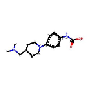 CN(C)CC1CCN(c2ccc(NC(=O)O)cc2)CC1